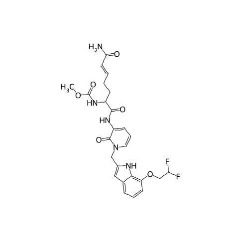 COC(=O)NC(CC/C=C/C(N)=O)C(=O)Nc1cccn(Cc2cc3cccc(OCC(F)F)c3[nH]2)c1=O